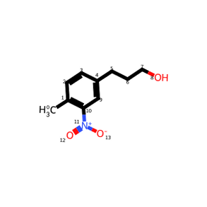 Cc1ccc(CCCO)cc1[N+](=O)[O-]